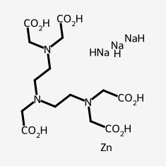 O=C(O)CN(CCN(CC(=O)O)CC(=O)O)CCN(CC(=O)O)CC(=O)O.[NaH].[NaH].[NaH].[Zn]